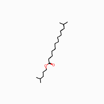 CC(C)CCCCCCCCCCC(=O)OCCCC(C)C